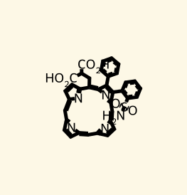 NS(=O)(=O)c1ccccc1C1=C(c2ccccc2)C2=C(CC(C(=O)O)C(=O)O)C3=NC(=CC4=NC(=CC5=NC(=CC1=N2)C=C5)C=C4)C=C3